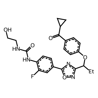 CCC(Oc1ccc(C(=O)C2CC2)cc1)c1noc(-c2ccc(NC(=O)NCCO)c(F)c2)n1